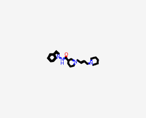 O=C(Nn1ccc2ccccc21)C1CCCN(C/C=C/CN2CCCCC2)C1